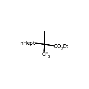 CCCCCCCC(C)(C(=O)OCC)C(F)(F)F